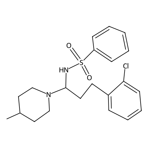 CC1CCN(C(CCc2ccccc2Cl)NS(=O)(=O)c2ccccc2)CC1